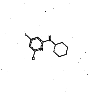 Clc1cc(I)cc(NC2CCCCC2)n1